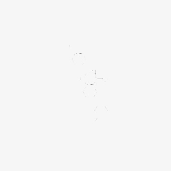 O=c1nc(-c2ccc(C(F)(F)F)cc2)oc2ccc(C3=CC(=S)CC=C3)cc12